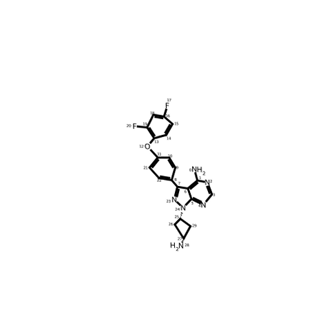 Nc1ncnc2c1c(-c1ccc(Oc3ccc(F)cc3F)cc1)nn2[C@H]1C[C@@H](N)C1